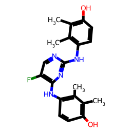 Cc1c(O)ccc(Nc2ncc(F)c(Nc3ccc(O)c(C)c3C)n2)c1C